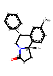 COc1ccc2c(c1)[C@@H](c1ccccc1)CN1C(=O)CC[C@@H]21